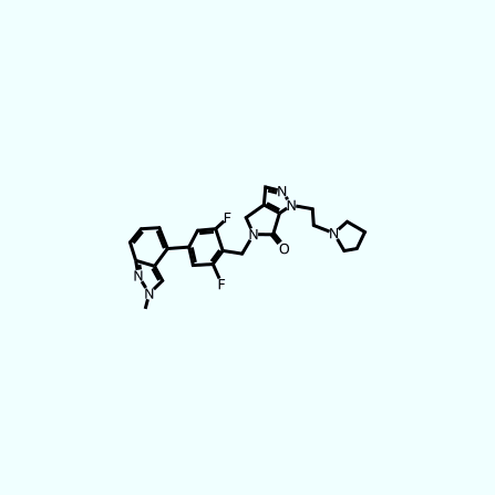 Cn1cc2c(-c3cc(F)c(CN4Cc5cnn(CCN6CCCC6)c5C4=O)c(F)c3)cccc2n1